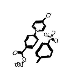 CC(C)(C)OC(=O)c1ccc(-[n+]2ccc(Cl)cc2)cc1.Cc1ccc(S(=O)(=O)[O-])cc1